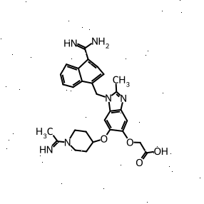 CC(=N)N1CCC(Oc2cc3c(cc2OCC(=O)O)nc(C)n3Cc2ccc(C(=N)N)c3ccccc23)CC1